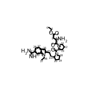 CCOC(=O)C[C@H](N)C(=O)N1CCC[C@@H]1C(=O)N1CCC[C@H]1CCc1cc2ccc(C(=N)N)cc2n1CC